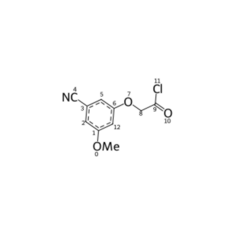 COc1cc(C#N)cc(OCC(=O)Cl)c1